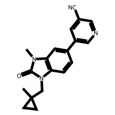 Cn1c(=O)n(CC2(C)CC2)c2ccc(-c3cncc(C#N)c3)cc21